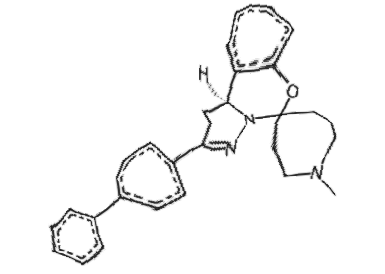 CN1CCC2(CC1)Oc1ccccc1[C@@H]1CC(c3ccc(-c4ccccc4)cc3)=NN12